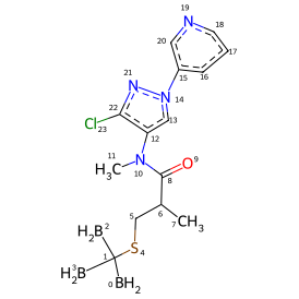 BC(B)(B)SCC(C)C(=O)N(C)c1cn(-c2cccnc2)nc1Cl